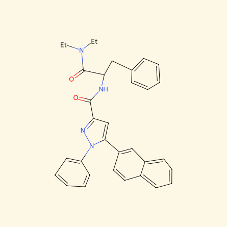 CCN(CC)C(=O)C(Cc1ccccc1)NC(=O)c1cc(-c2ccc3ccccc3c2)n(-c2ccccc2)n1